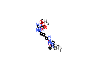 CCN(CC)[C@@H](C(=O)N1CCCC[C@@H]1c1ncc(-c2ccc(-c3ccc4cc(-c5cnc([C@@H]6CCCN6C(=O)[C@@H](NC(=O)OC)C6CCOCC6)[nH]5)ccc4c3)cc2)[nH]1)c1ccccc1